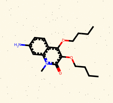 CCCCOc1c(OCCCC)c2ccc(N)cc2n(C)c1=O